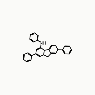 C1=C2CC3C=C(c4ccccc4)C=C(Nc4ccccc4)C3C2=CCC1c1ccccc1